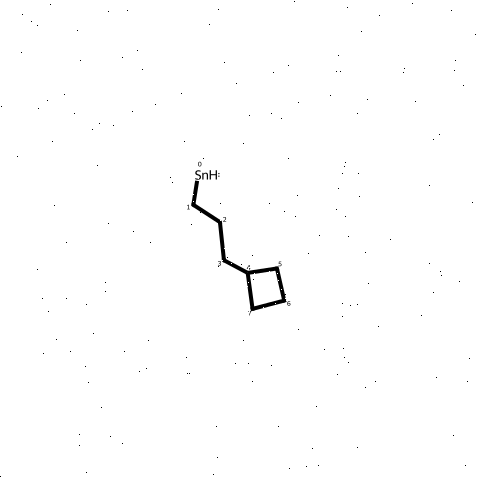 [SnH][CH2]CCC1CCC1